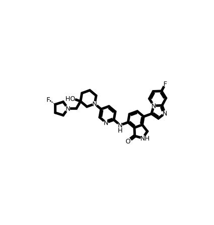 O=C1NCc2c(-c3cnc4cc(F)ccn34)ccc(Nc3ccc(N4CCCC(O)(CN5CC[C@H](F)C5)C4)cn3)c21